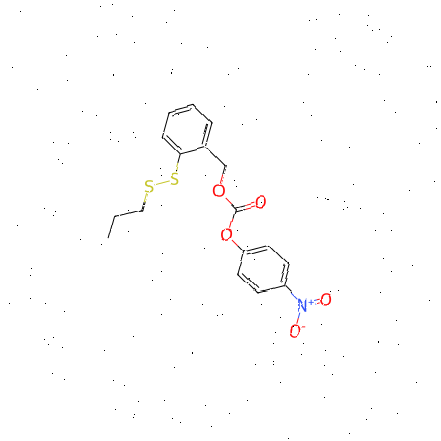 CCCSSc1ccccc1COC(=O)Oc1ccc([N+](=O)[O-])cc1